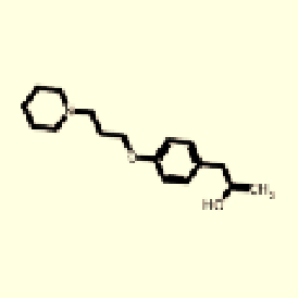 C=C(O)Cc1ccc(OCCCN2CCCCC2)cc1